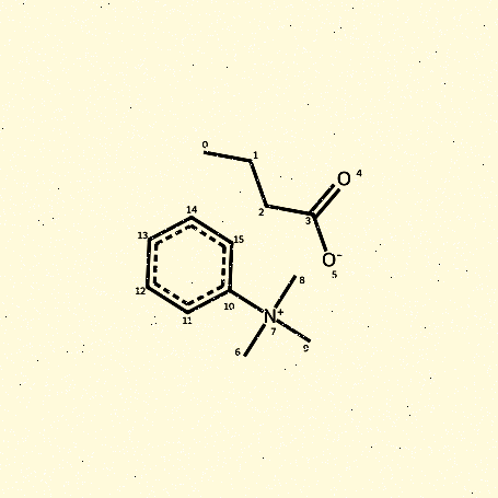 CCCC(=O)[O-].C[N+](C)(C)c1ccccc1